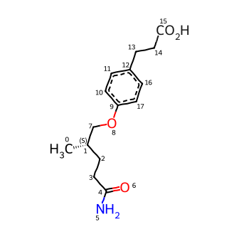 C[C@@H](CCC(N)=O)COc1ccc(CCC(=O)O)cc1